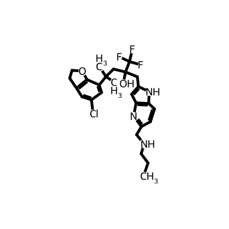 CCCNCc1ccc2[nH]c(CC(O)(CC(C)(C)c3cc(Cl)cc4c3OCC4)C(F)(F)F)cc2n1